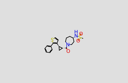 CS(=O)(=O)N[C@H]1CCCN(C(=O)[C@@H]2C[C@H]2c2ccsc2-c2ccccc2)CC1